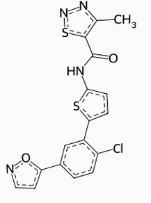 Cc1nnsc1C(=O)Nc1ccc(-c2cc(-c3ccno3)ccc2Cl)s1